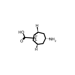 N[C@H]1C[C@H]2CC[C@@H](C1)CN(C(=O)O)C2